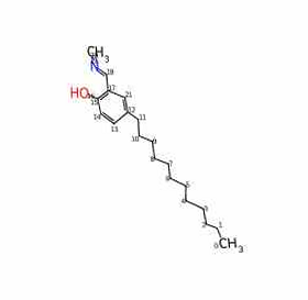 CCCCCCCCCCCCc1ccc(O)c(/C=N/C)c1